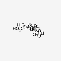 C[C@@H]1C[C@@H](n2ncc(C(=O)NC(CC(=O)c3c(Cl)cccc3Cl)C3(C(F)(F)F)CC3)c2C(F)(F)F)CC[C@@H]1C(=O)O